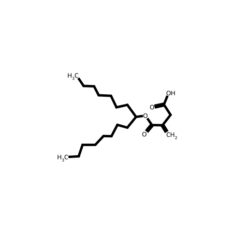 C=C(CC(=O)O)C(=O)OC(CCCCCCC)CCCCCCCC